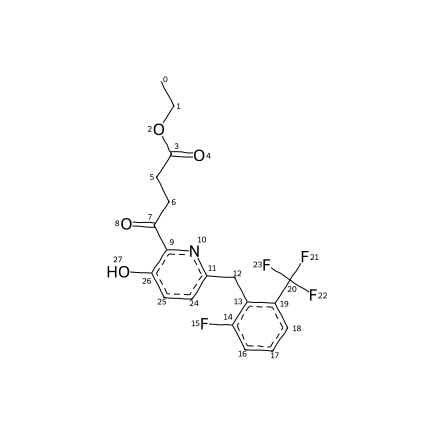 CCOC(=O)CCC(=O)c1nc(Cc2c(F)cccc2C(F)(F)F)ccc1O